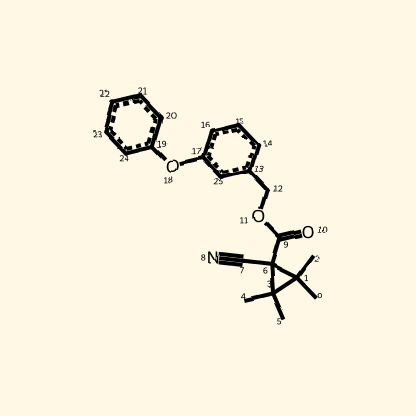 CC1(C)C(C)(C)C1(C#N)C(=O)OCc1cccc(Oc2ccccc2)c1